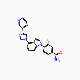 NC(=O)c1ccc(-n2ccc3c(-n4cnc(-c5cccnc5)c4)cccc32)c(Cl)c1